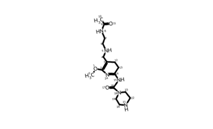 COC1=C(CNCCNC(C)=O)CCC(NC(=O)N2CCNCC2)=N1